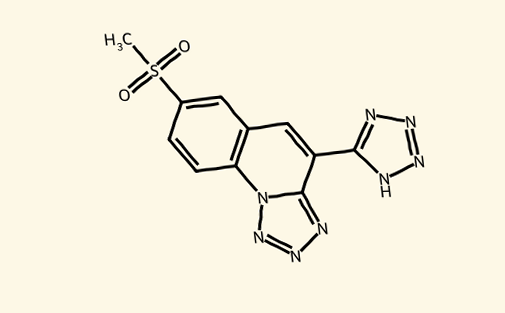 CS(=O)(=O)c1ccc2c(c1)cc(-c1nnn[nH]1)c1nnnn12